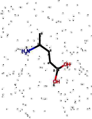 C[C](N)CCB(O)O